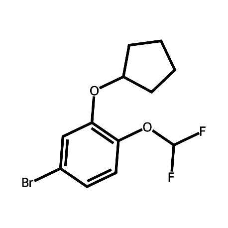 FC(F)Oc1ccc(Br)cc1OC1CCCC1